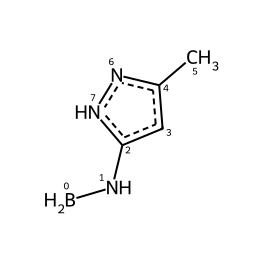 BNc1cc(C)n[nH]1